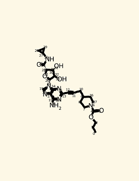 CCCOC(=O)N1CCC(CC#Cc2nc(N)c3ncn([C@@H]4O[C@H](C(=O)NC5CC5)[C@H](O)C4O)c3n2)CC1